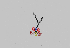 CCCCCCCCC(CCCCCC)CCCCN1C(=O)c2c(Br)sc(Br)c2C1=O